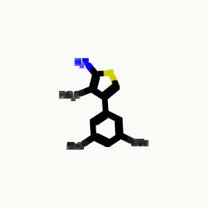 CCOC(=O)c1c(-c2cc(OC)cc(OC)c2)csc1N